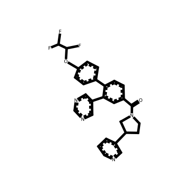 O=C(c1ccc(-c2ccc(OC(F)C(F)F)cc2)c(-c2cncnc2)c1)N1CCC(c2cccnc2)C1